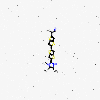 CC1=C(C)N(C)/C(=c2\cc3s/c(=c4\cc5s/c(=C(\C#N)C=N)cc5s4)cc3s2)N1